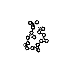 c1ccc(-n2c3ccccc3c3cc(-c4ccc5c(c4)c4ccccc4n5-c4cccc(-c5ccc6c(c5)oc5cccc(-c7ccc(-n8c9ccccc9c9cc(-c%10ccc%11c(c%10)c%10ccccc%10n%11-c%10cccc(-c%11cccc%12oc%13ccccc%13c%11%12)c%10)ccc98)cc7)c56)c4)ccc32)cc1